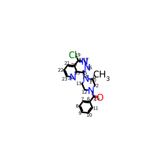 C[C@@H]1CN(C(=O)c2ccccc2)CCN1c1nnc(Cl)c2cccnc12